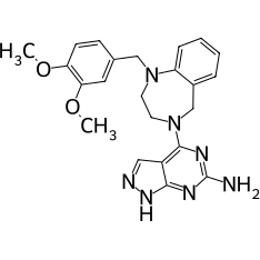 COc1ccc(CN2CCN(c3nc(N)nc4[nH]ncc34)Cc3ccccc32)cc1OC